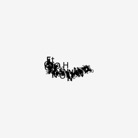 CCC(=O)Cn1c(=O)c2c(ncn2[C@@H](C)C(=O)Nc2cncc(-c3cnc(N4CCC(C)C4)cn3)n2)n(C)c1=O